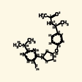 CC(=O)N[C@@H](C)c1ccc(O[C@@H]2CCN(c3nc(N(C)C)ncc3F)C2)cc1